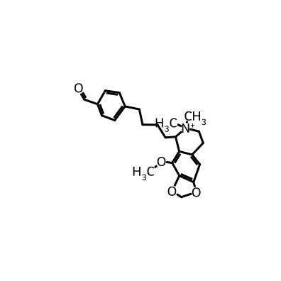 COc1c2c(cc3c1C(CCCCc1ccc(C=O)cc1)[N+](C)(C)CC3)OCO2